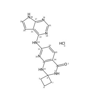 Cl.O=C1NC2(CCC2)Nc2nc(Nc3ncnc4[nH]ccc34)ccc21